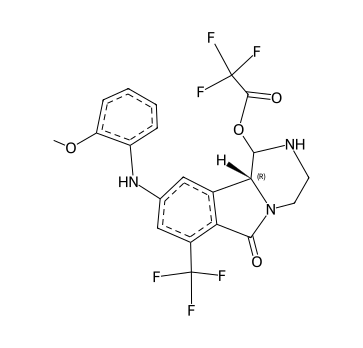 COc1ccccc1Nc1cc2c(c(C(F)(F)F)c1)C(=O)N1CCNC(OC(=O)C(F)(F)F)[C@@H]21